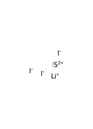 [I-].[I-].[I-].[Li+].[S+2]